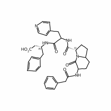 O=C(O)C[C@@H](Cc1ccccc1)NC(=O)C(Cc1ccncc1)NC(=O)[C@@H]1CCC2CCC(NC(=O)Cc3ccccc3)C(=O)N21